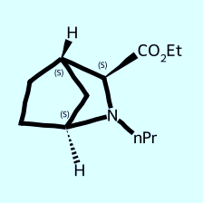 CCCN1[C@H]2CC[C@@H](C2)[C@H]1C(=O)OCC